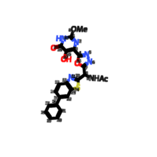 COc1nc(-c2nnc(C(NC(C)=O)c3nc4ccc(-c5ccccc5)cc4s3)o2)c(O)c(=O)[nH]1